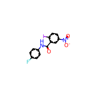 O=C(Nc1ccc(F)cc1)c1cc([N+](=O)[O-])ccc1I